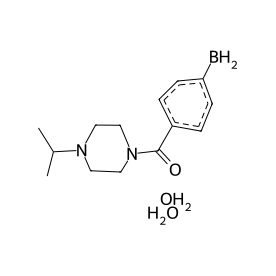 Bc1ccc(C(=O)N2CCN(C(C)C)CC2)cc1.O.O